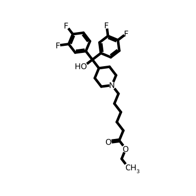 CCOC(=O)CCCCCN1CCC(C(O)(c2ccc(F)c(F)c2)c2ccc(F)c(F)c2)CC1